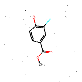 COC(=O)c1ccc([O])c(F)c1